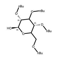 CCCCOCC1O[C@@H](O)[C@H](OCCCC)C(OCCCC)[C@@H]1OCCCC